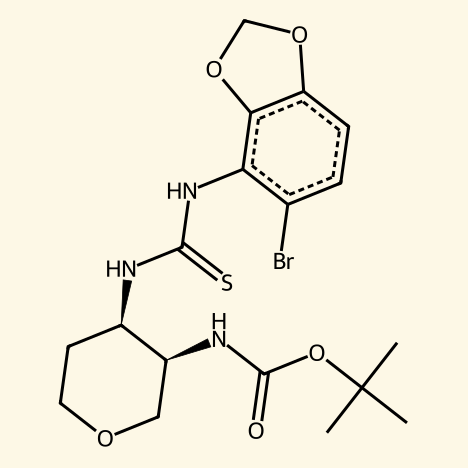 CC(C)(C)OC(=O)N[C@H]1COCC[C@H]1NC(=S)Nc1c(Br)ccc2c1OCO2